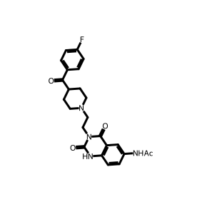 CC(=O)Nc1ccc2[nH]c(=O)n(CCN3CCC(C(=O)c4ccc(F)cc4)CC3)c(=O)c2c1